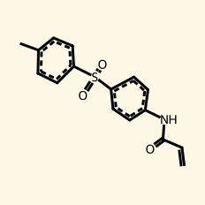 C=CC(=O)Nc1ccc(S(=O)(=O)c2ccc(C)cc2)cc1